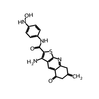 C=C1CC(=O)c2cc3c(N)c(C(=O)Nc4ccc(NO)cc4)sc3nc2C1